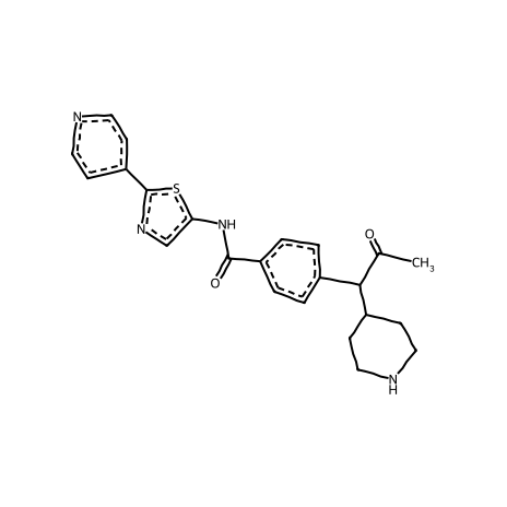 CC(=O)C(c1ccc(C(=O)Nc2cnc(-c3ccncc3)s2)cc1)C1CCNCC1